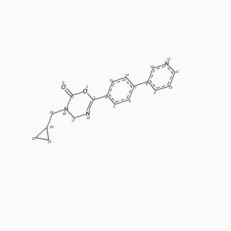 O=C1OC(c2ccc(-c3cccnc3)cc2)=NCN1CC1CC1